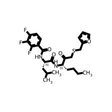 CCCC[C@H](NC(=O)[C@H](CC(C)C)NC(=O)c1ccc(F)c(F)c1F)C(=O)CSCc1ccco1